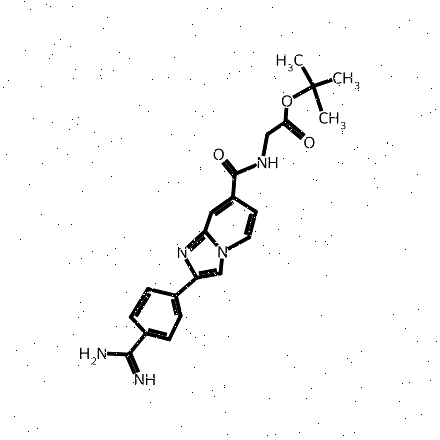 CC(C)(C)OC(=O)CNC(=O)c1ccn2cc(-c3ccc(C(=N)N)cc3)nc2c1